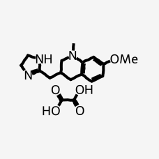 COc1ccc2c(c1)N(C)CC(CC1=NCCN1)C2.O=C(O)C(=O)O